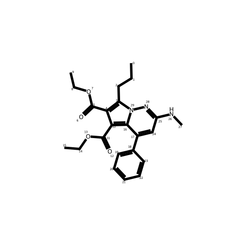 CCCc1c(C(=O)OCC)c(C(=O)OCC)c2c(-c3ccccc3)cc(NC)nn12